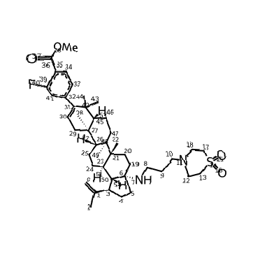 C=C(C)[C@@H]1CC[C@]2(NCCCN3CCS(=O)(=O)CC3)CC[C@]3(C)[C@H](CC[C@@H]4[C@@]5(C)CC=C(c6ccc(C(=O)OC)c(F)c6)C(C)(C)[C@@H]5CC[C@]43C)[C@@H]12